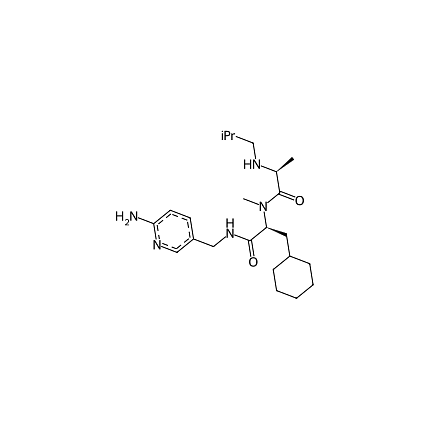 CC(C)CN[C@@H](C)C(=O)N(C)[C@@H](CC1CCCCC1)C(=O)NCc1ccc(N)nc1